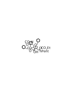 CCCCC[C@@H](CC[C@H]1[C@H](O)CC2(C(=O)OCc3ccccc3)Cc3c(cccc3OCC(=O)O)CC12C(=O)OCc1ccccc1)OC(=O)OCC